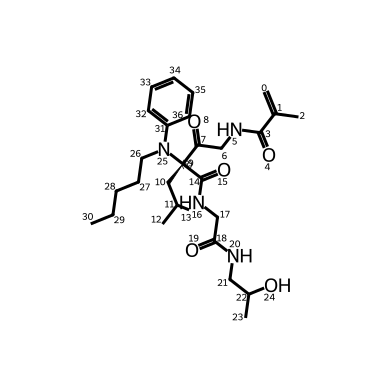 C=C(C)C(=O)NCC(=O)[C@](CC(C)C)(C(=O)NCC(=O)NCC(C)O)N(CCCCC)c1ccccc1